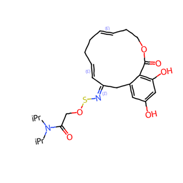 CC(C)N(C(=O)COS/N=C1\C=C\CC/C=C/CCOC(=O)c2c(O)cc(O)cc2C1)C(C)C